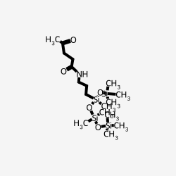 CC(=O)CCC(=O)NCCC[Si](C)(O[Si](C)(C)C)O[Si](C)(C)O[Si](C)(C)C